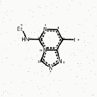 CCNc1ncc(I)c2nncn12